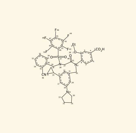 CCOc1cc(C(=O)O)ccc1N(Cc1cc(C2CC2)cc(N2CCCC2)c1)C(=O)CN(Cc1ccccc1C#N)S(=O)(=O)c1c(F)c(F)c(F)c(F)c1F